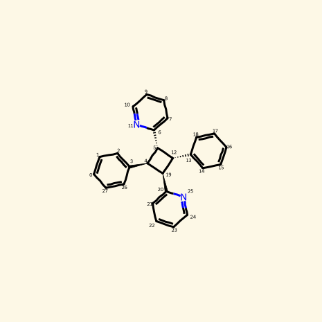 c1ccc([C@H]2[C@H](c3ccccn3)[C@H](c3ccccc3)[C@H]2c2ccccn2)cc1